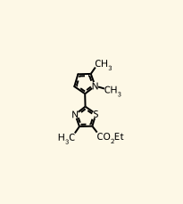 CCOC(=O)c1sc(-c2ccc(C)n2C)nc1C